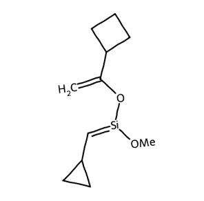 C=C(O[Si](=CC1CC1)OC)C1CCC1